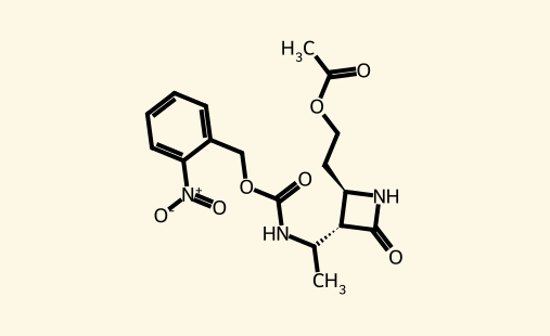 CC(=O)OCC[C@H]1NC(=O)[C@@H]1C(C)NC(=O)OCc1ccccc1[N+](=O)[O-]